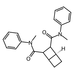 CN(C(=O)C1C2CC[C@@H]2C1C(=O)N(C)c1ccccc1)c1ccccc1